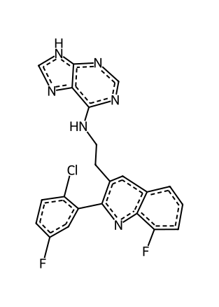 Fc1ccc(Cl)c(-c2nc3c(F)cccc3cc2CCNc2ncnc3[nH]cnc23)c1